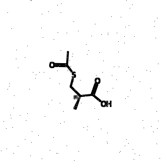 CC(=O)SC[C@H](C)C(=O)O